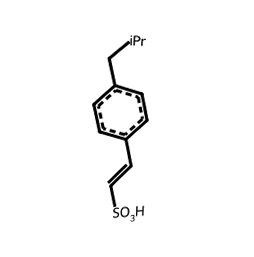 CC(C)Cc1ccc(C=CS(=O)(=O)O)cc1